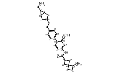 Cl.NCC1C2CN(CCc3ccc(-n4ccc(NC(=O)N5CC6(CCC6N)C5)nc4=O)cc3)CC12